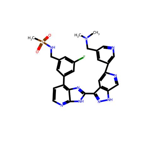 CN(C)Cc1cncc(-c2cc3c(-c4nc5c(-c6cc(F)cc(CNS(C)(=O)=O)c6)ccnc5[nH]4)n[nH]c3cn2)c1